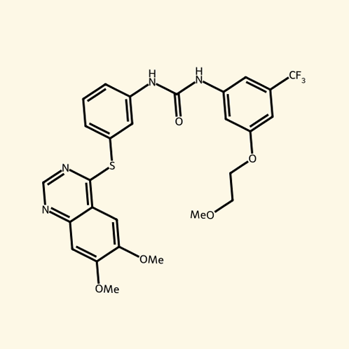 COCCOc1cc(NC(=O)Nc2cccc(Sc3ncnc4cc(OC)c(OC)cc34)c2)cc(C(F)(F)F)c1